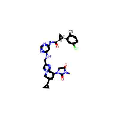 CN1C(=O)CN(c2cc(C3CC3)cn3cc(CNc4cc(NC(=O)[C@H]5C[C@@H]5c5cc(Cl)ccc5C#N)ncn4)nc23)C1=O